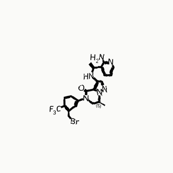 C=C(Nc1cnn2c1C(=O)N(c1ccc(C(F)(F)F)c(CBr)c1)C[C@@H]2C)c1cccnc1N